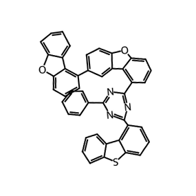 c1ccc(-c2nc(-c3cccc4oc5ccc(-c6cccc7oc8ccccc8c67)cc5c34)nc(-c3cccc4sc5ccccc5c34)n2)cc1